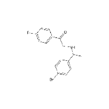 CC(NCC(=O)c1ccc(F)cc1)c1ccc(Br)cc1